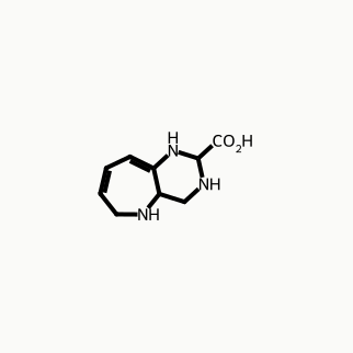 O=C(O)C1NCC2NCC=CC=C2N1